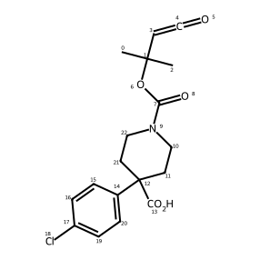 CC(C)(C=C=O)OC(=O)N1CCC(C(=O)O)(c2ccc(Cl)cc2)CC1